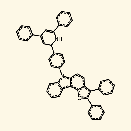 C1=C(c2ccccc2)C=C(c2ccccc2)NC1c1ccc(-n2c3ccccc3c3c4oc(-c5ccccc5)c(-c5ccccc5)c4ccc32)cc1